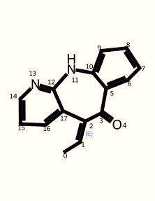 C/C=C1/C(=O)c2ccccc2Nc2ncccc21